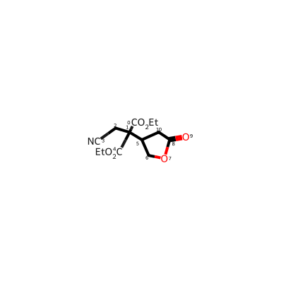 CCOC(=O)C(CC#N)(C(=O)OCC)C1COC(=O)C1